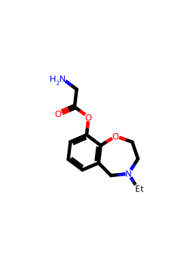 CCN1CCOc2c(cccc2OC(=O)CN)C1